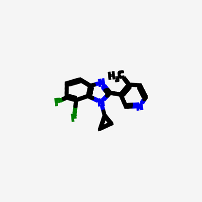 Cc1ccncc1-c1nc2ccc(F)c(F)c2n1C1CC1